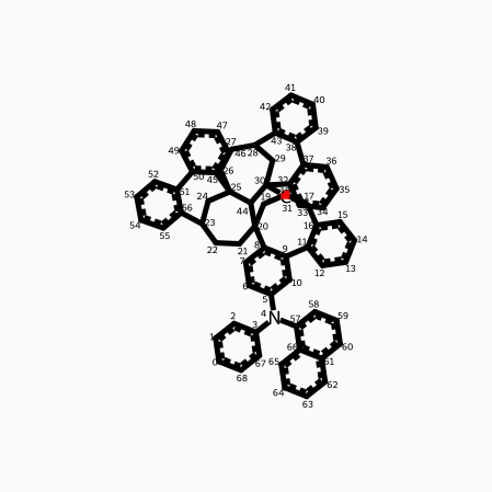 c1ccc(N(c2ccc3c(c2)-c2ccccc2C2CCC34CCC3CC5(CCC6CC(C2)(c2ccccc2-c2ccccc26)C45)c2ccccc2-c2ccccc23)c2cccc3ccccc23)cc1